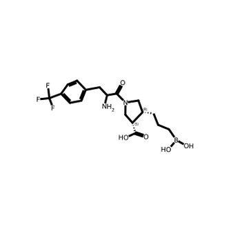 NC(Cc1ccc(C(F)(F)F)cc1)C(=O)N1C[C@H](CCCB(O)O)[C@H](C(=O)O)C1